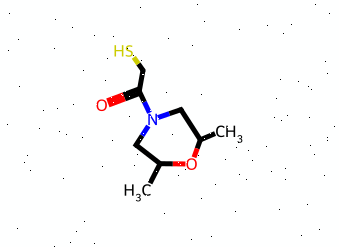 CC1CN(C(=O)CS)CC(C)O1